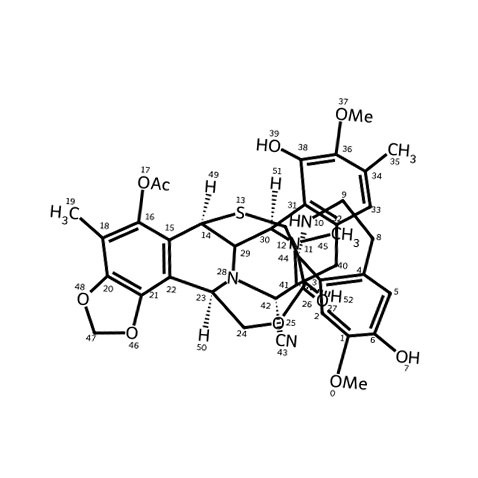 COc1cc2c(cc1O)CCN[C@]21CS[C@@H]2c3c(OC(C)=O)c(C)c4c(c3[C@H](COC1=O)N1C2[C@H]2c3c(cc(C)c(OC)c3O)C[C@@H]([C@@H]1C#N)N2C)OCO4